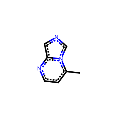 Cc1ccnc2cncn12